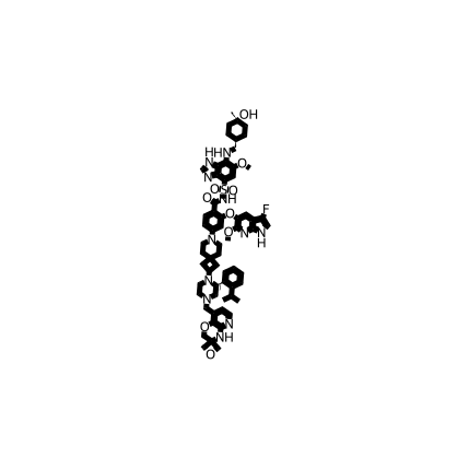 COc1cc(S(=O)(=O)NC(=O)c2ccc(N3CCC4(CC3)CC(N3CCN(Cc5ccnc6c5OCC5(COC5)N6)C[C@H]3c3ccccc3C(C)C)C4)cc2Oc2cc3c(F)c[nH]c3nc2OC)c2nc[nH]c2c1NC[C@H]1CC[C@](C)(O)CC1